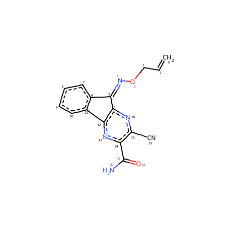 C=CCON=C1c2ccccc2-c2nc(C(N)=O)c(C#N)nc21